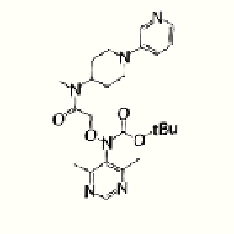 Cc1ncnc(C)c1N(OCC(=O)N(C)C1CCN(c2cccnc2)CC1)C(=O)OC(C)(C)C